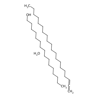 C=C=CCCCCCCCCCCCCCCCCC.CCCCCCCCCCCCCCCCO.O